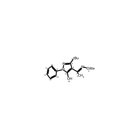 CO/N=C(\C)c1c(C(C)(C)C)nn(-c2ccccc2)c1O